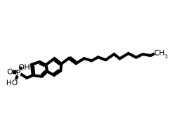 CCCCCCCCCCC/C=C/c1ccc2cc(CP(=O)(O)O)ccc2c1